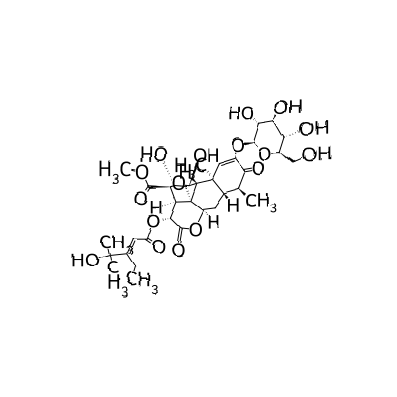 CC/C(=C\C(=O)O[C@H]1C(=O)O[C@@H]2C[C@H]3[C@H](C)C(=O)C(O[C@@H]4O[C@H](CO)[C@@H](O)[C@H](O)[C@H]4O)=C[C@]3(C)[C@H]3[C@@H](O)[C@@H](O)[C@@]4(C(=O)OC)OC[C@]32[C@@H]14)C(C)(C)O